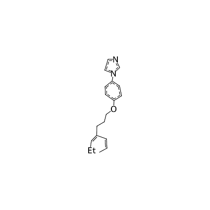 C/C=C\C(=C/CC)CCCOc1ccc(-n2ccnc2)cc1